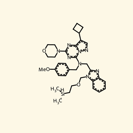 COc1ccc(CN(Cc2nc3ccccc3n2COCC[SiH](C)C)c2nc(N3CCOCC3)nc3c(C4CCC4)cnn23)cc1